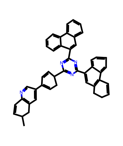 CC1C=Cc2ncc(C3=CCC(c4nc(-c5cc6c(c7ccccc57)C=CCC6)nc(-c5cc6ccccc6c6ccccc56)n4)C=C3)cc2C1